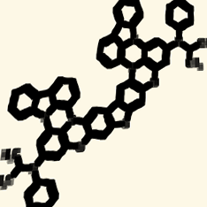 CC(C)N(c1ccccc1)c1cc2c3c(c1)-n1c4ccccc4c4cccc(c41)B3c1cc3c(cc1O2)sc1cc2c(cc13)B1c3c(cc(N(c4ccccc4)C(C)C)cc3-n3c4ccccc4c4cccc1c43)O2